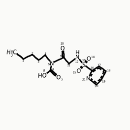 CCCCCN(C(=O)O)C(=O)CNS(=O)(=O)c1ccccn1